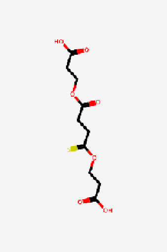 O=C(O)CCOC(=O)CCC(=S)OCCC(=O)O